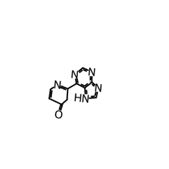 O=C1C=CN=C(c2ncnc3nc[nH]c23)C1